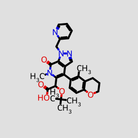 Cc1c(-c2c(C(OC(C)(C)C)C(=O)O)n(C)c(=O)c3c2cnn3Cc2ccccn2)ccc2c1CCCO2